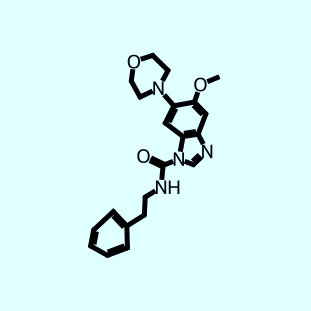 COc1cc2ncn(C(=O)NCCc3ccccc3)c2cc1N1CCOCC1